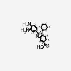 Nc1ccc(-c2nc3cc(C(=O)O)ccc3n2C2CCCCC2)cc1N